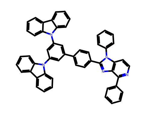 c1ccc(-c2nccc3c2nc(-c2ccc(-c4cc(-n5c6ccccc6c6ccccc65)cc(-n5c6ccccc6c6ccccc65)c4)cc2)n3-c2ccccc2)cc1